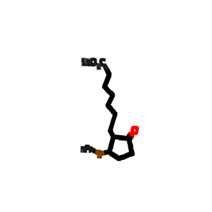 CCCSC1CCC(=O)C1CCCCCCC(=O)OCC